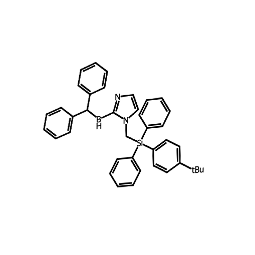 CC(C)(C)c1ccc([Si](Cn2ccnc2BC(c2ccccc2)c2ccccc2)(c2ccccc2)c2ccccc2)cc1